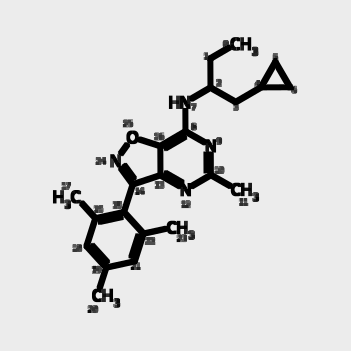 CCC(CC1CC1)Nc1nc(C)nc2c(-c3c(C)cc(C)cc3C)noc12